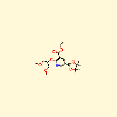 CCOC(=O)c1cc(B2OC(C)(C)C(C)(C)O2)cnc1OC(COC)COC